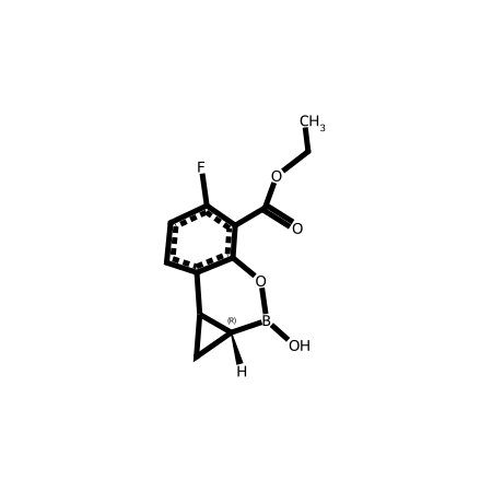 CCOC(=O)c1c(F)ccc2c1OB(O)[C@@H]1CC21